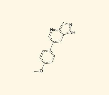 COc1ccc(-c2cnc3cn[nH]c3c2)cc1